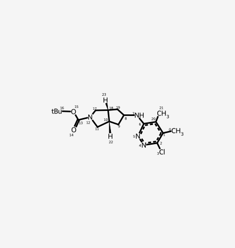 Cc1c(Cl)nnc(NC2C[C@@H]3CN(C(=O)OC(C)(C)C)C[C@@H]3C2)c1C